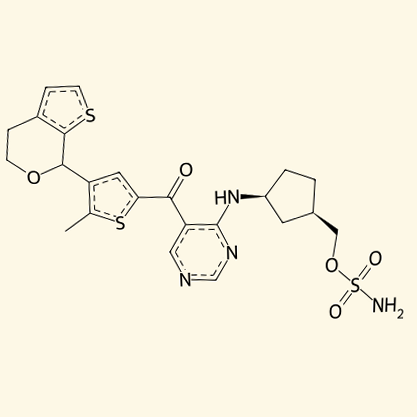 Cc1sc(C(=O)c2cncnc2N[C@H]2CC[C@@H](COS(N)(=O)=O)C2)cc1C1OCCc2ccsc21